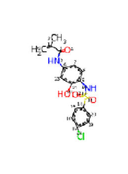 C=C(C)C(=O)Nc1ccc(NS(=O)(=O)c2ccc(Cl)cc2)c(O)c1